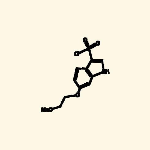 COCCOc1ccc2c(S(=O)(=O)Cl)c[nH]c2c1